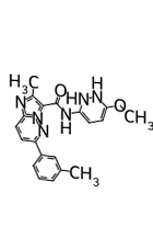 COC1=CC=C(NC(=O)c2c(C)nc3ccc(-c4cccc(C)c4)nn23)NN1